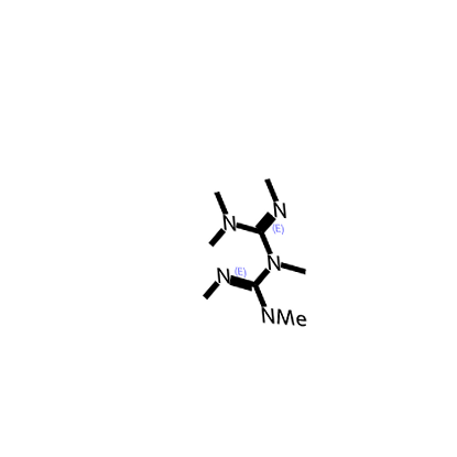 C/N=C(\NC)N(C)/C(=N/C)N(C)C